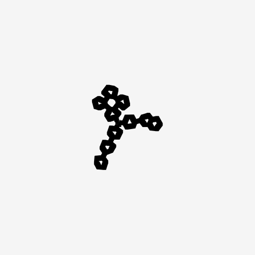 c1ccc(-c2ccc(-c3ccc(N(c4ccc(-c5ccc6ccccc6c5)cc4)c4ccc5c(c4)-c4ccccc4-c4ccccc4-c4ccccc4-5)cc3)cc2)cc1